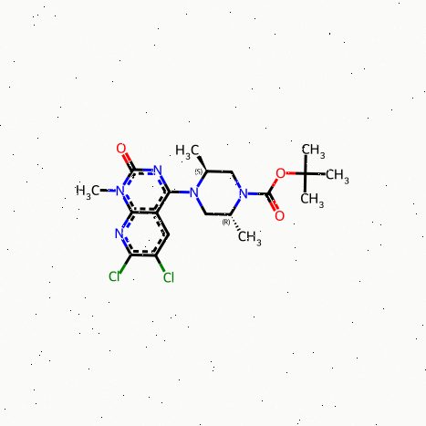 C[C@@H]1CN(c2nc(=O)n(C)c3nc(Cl)c(Cl)cc23)[C@@H](C)CN1C(=O)OC(C)(C)C